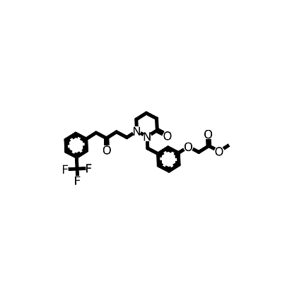 COC(=O)COc1cccc(CN2C(=O)CCCN2CCC(=O)Cc2cccc(C(F)(F)F)c2)c1